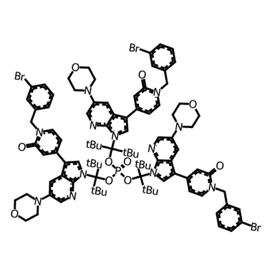 CC(C)(C)C(OP(=O)(OC(n1cc(-c2ccn(Cc3cccc(Br)c3)c(=O)c2)c2cc(N3CCOCC3)cnc21)(C(C)(C)C)C(C)(C)C)OC(n1cc(-c2ccn(Cc3cccc(Br)c3)c(=O)c2)c2cc(N3CCOCC3)cnc21)(C(C)(C)C)C(C)(C)C)(n1cc(-c2ccn(Cc3cccc(Br)c3)c(=O)c2)c2cc(N3CCOCC3)cnc21)C(C)(C)C